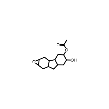 CC(=O)OC1CC2C(CC1O)CC1CC3OC3CC12